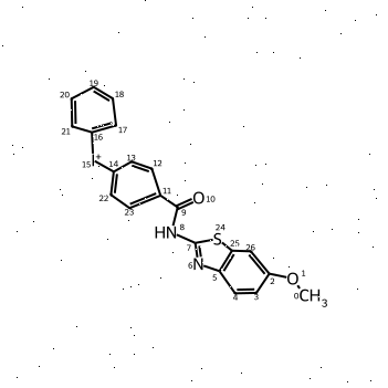 COc1ccc2nc(NC(=O)c3ccc([I+]c4ccccc4)cc3)sc2c1